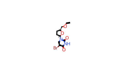 C=COC[C@@H]1CC[C@H](n2cc(Br)c(=O)[nH]c2=O)O1